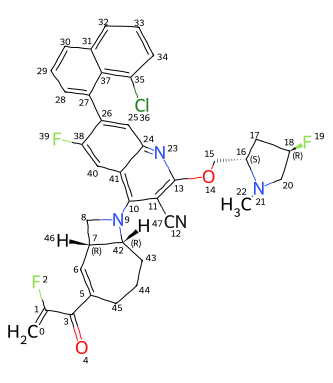 C=C(F)C(=O)C1=C[C@@H]2CN(c3c(C#N)c(OC[C@@H]4C[C@@H](F)CN4C)nc4cc(-c5cccc6cccc(Cl)c56)c(F)cc34)[C@@H]2CCC1